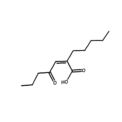 CCCCCC(=CC(=O)CCC)C(=O)O